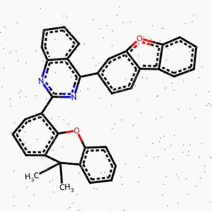 CC1(C)c2ccccc2Oc2c(-c3nc(-c4ccc5c(c4)oc4ccccc45)c4ccccc4n3)cccc21